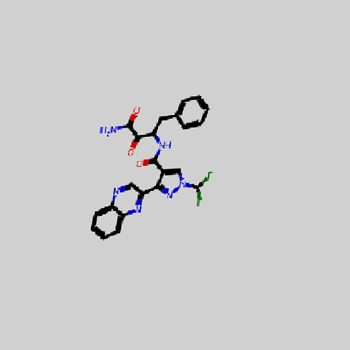 NC(=O)C(=O)C(Cc1ccccc1)NC(=O)c1cn(C(F)F)nc1-c1cnc2ccccc2n1